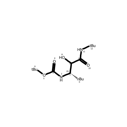 CCCC[C@H](NC(=O)OC(C)(C)C)C(O)C(=O)NC(C)(C)C